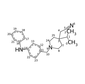 CC(C)C1(CC#N)CCN(Cc2ccc(Nc3ccccc3)cc2)CC1